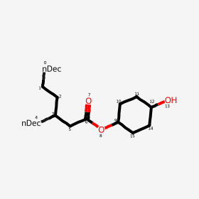 CCCCCCCCCCCCC(CCCCCCCCCC)CC(=O)OC1CCC(O)CC1